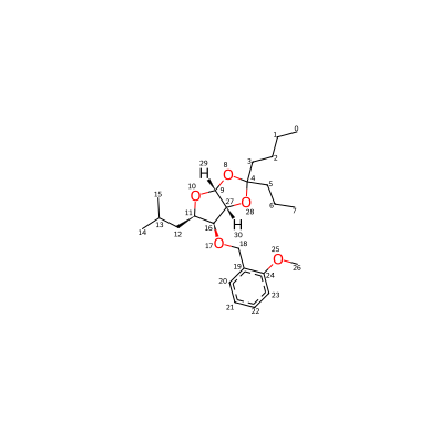 CCCCC1(CCC)O[C@H]2O[C@H](CC(C)C)[C@H](OCc3ccccc3OC)[C@H]2O1